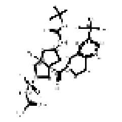 CC(C)(C)OC(=O)N[C@@H]1C[C@H]2CN(S(=O)(=O)NC(=O)O)C[C@@]2(C(=O)N2CCc3ncc(C(F)(F)F)cc3C2)C1